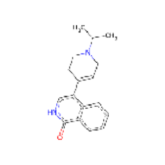 CC(C)N1CC=C(c2c[nH]c(=O)c3ccccc23)CC1